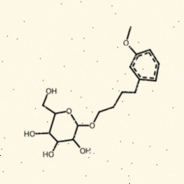 COc1cccc(CCCCOC2OC(CO)C(O)C(O)C2O)c1